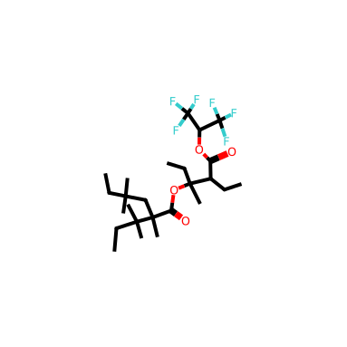 CCC(C(=O)OC(C(F)(F)F)C(F)(F)F)C(C)(CC)OC(=O)C(C)(CC(C)(C)CC)C(C)(C)CC